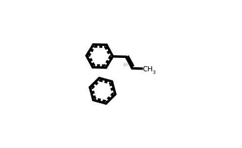 C/C=C/c1ccccc1.c1ccccc1